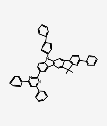 CC1(C)c2cc(-c3ccccc3)ccc2-c2cc3c(cc21)c1cc(-c2nc(-c4ccccc4)cc(-c4ccccc4)n2)ccc1n3-c1ccc(-c2ccccc2)cc1